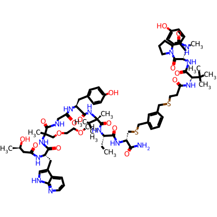 CC[C@H](NC(=O)[C@@](C)(NC(=O)[C@H](Cc1ccc(O)cc1)NC(=O)CNC(=O)C(C)(COCCOC)NC(=O)[C@H](Cc1c[nH]c2ncccc12)NC(=O)C[C@@H](C)O)C(C)C)C(=O)N[C@H](CSCc1cccc(CSCCC(=O)N[C@H](C(=O)N[C@@H](Cc2ccc(O)cc2)C(=O)N2CCC[C@H]2C(=O)NC)C(C)(C)C)c1)C(N)=O